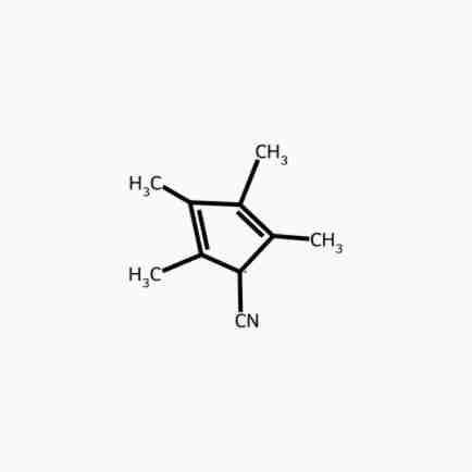 CC1=C(C)C(C)=C(C)[C]1C#N